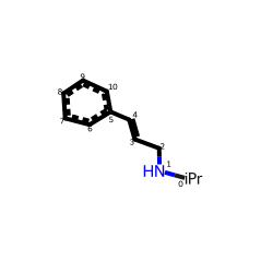 CC(C)NCC=Cc1ccccc1